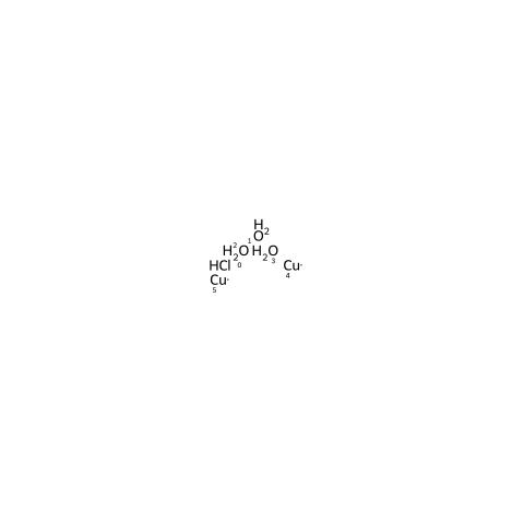 Cl.O.O.O.[Cu].[Cu]